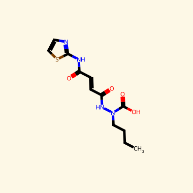 CCCCN(NC(=O)/C=C/C(=O)Nc1nccs1)C(=O)O